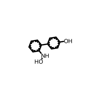 ONc1ccccc1-c1ccc(O)cc1